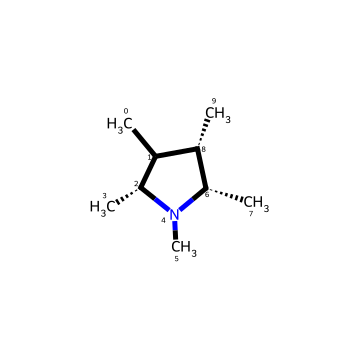 CC1[C@@H](C)N(C)[C@@H](C)[C@H]1C